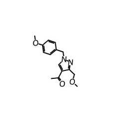 COCc1nn(Cc2ccc(OC)cc2)cc1C(C)=O